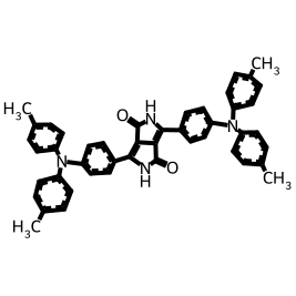 Cc1ccc(N(c2ccc(C)cc2)c2ccc(C3=C4C(=O)NC(c5ccc(N(c6ccc(C)cc6)c6ccc(C)cc6)cc5)=C4C(=O)N3)cc2)cc1